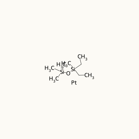 CC[Si](C)(CC)O[Si](C)(C)C.[Pt]